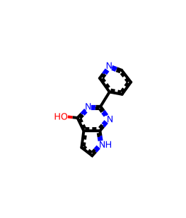 Oc1nc(-c2cccnc2)nc2[nH]ccc12